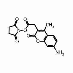 Cc1c(CC(=O)ON2C(=O)CCC2=O)c(=O)oc2cc(N)ccc12